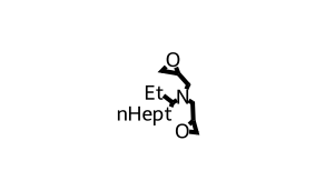 CCCCCCCC(CC)N(CC1CO1)CC1CO1